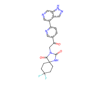 O=C(CN1C(=O)NC2(CCC(F)(F)CC2)C1=O)c1ccc(-c2cncc3[nH]ncc23)nc1